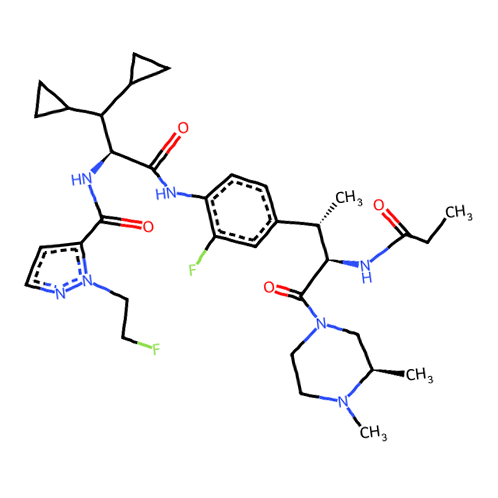 CCC(=O)N[C@@H](C(=O)N1CCN(C)[C@H](C)C1)[C@@H](C)c1ccc(NC(=O)[C@@H](NC(=O)c2ccnn2CCF)C(C2CC2)C2CC2)c(F)c1